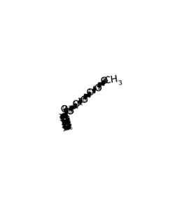 COCCOCCOCCOCCOCCOC(=O)C1CC2CC1C1C3C=CC(C3)C21